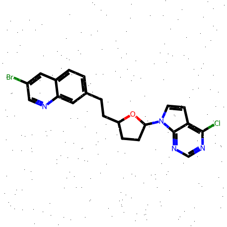 Clc1ncnc2c1ccn2C1CCC(CCc2ccc3cc(Br)cnc3c2)O1